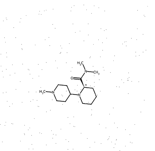 CN1CCC(N2CCCC[C@@H]2C(=O)N(C)C)CC1